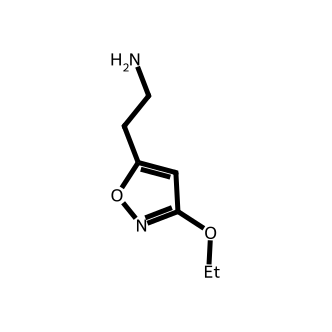 CCOc1cc(CCN)on1